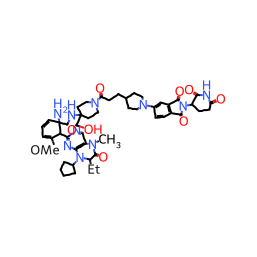 CCC1C(=O)N(C)c2cnc(C3C(OC)=CC=CC3(N)C(=O)NC3(CO)CCN(C(=O)CCC4CCN(c5ccc6c(c5)C(=O)N(C5CCC(=O)NC5=O)C6=O)CC4)CC3)nc2N1C1CCCC1